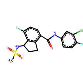 CS(=O)(=O)NC1CCc2c(C(=O)Nc3ccc(F)c(Cl)c3)ccc(F)c21